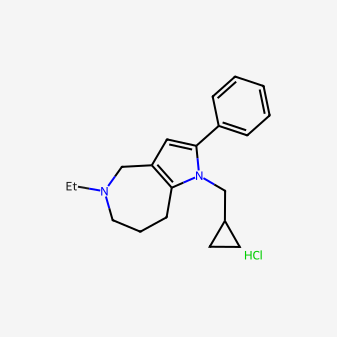 CCN1CCCc2c(cc(-c3ccccc3)n2CC2CC2)C1.Cl